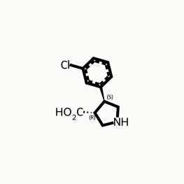 O=C(O)[C@H]1CNC[C@@H]1c1cccc(Cl)c1